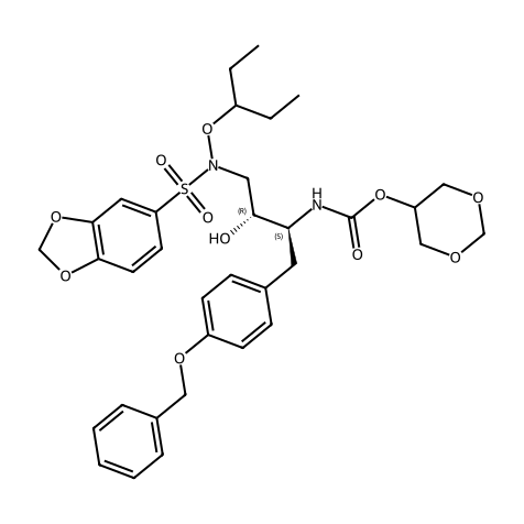 CCC(CC)ON(C[C@@H](O)[C@H](Cc1ccc(OCc2ccccc2)cc1)NC(=O)OC1COCOC1)S(=O)(=O)c1ccc2c(c1)OCO2